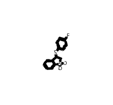 O=S1(=O)CC(Sc2ccc(F)cc2)c2ccccc21